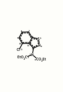 CCOC(=O)N(C(=O)OCC)c1nsc2cccc(Cl)c12